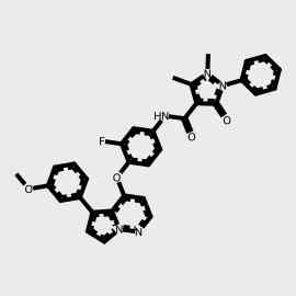 COc1cccc(-c2ccn3nccc(Oc4ccc(NC(=O)c5c(C)n(C)n(-c6ccccc6)c5=O)cc4F)c23)c1